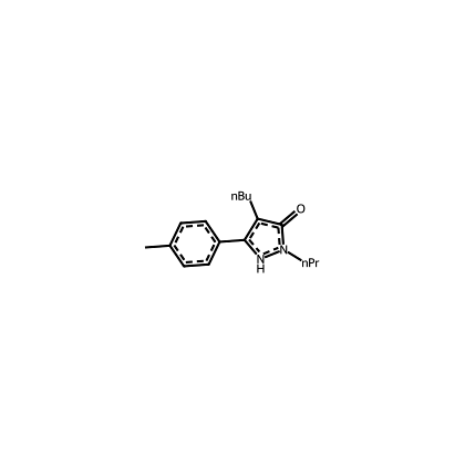 CCCCc1c(-c2ccc(C)cc2)[nH]n(CCC)c1=O